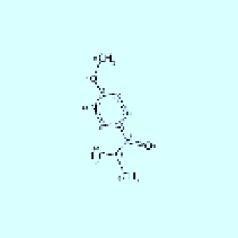 COc1ccc(C(=O)C(C)C)cn1